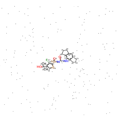 CC(C)(O)c1csc(/[SH](=O)=N/C(=O)Nc2c3c(cc4c2CCC4)CCC3)c1F